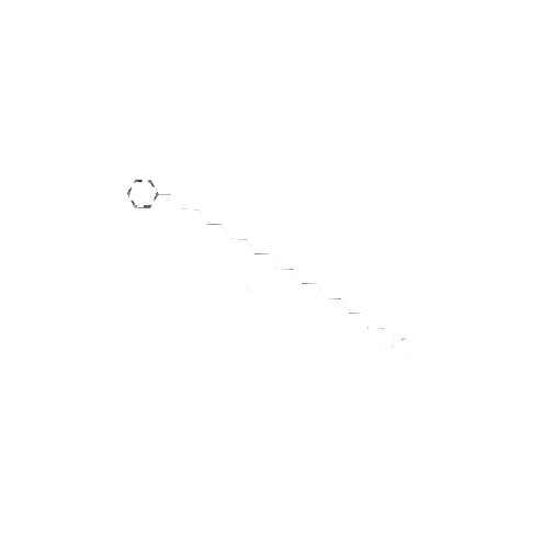 O=P([O-])([O-])OOCCCCCCCCCCCCCCCCOc1ccccc1.[K+].[K+]